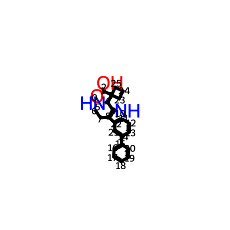 O=C(O)C1(C2NCCc3c2[nH]c2ccc(-c4ccccc4)cc32)CCC1